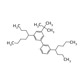 CCCCC(CCC)c1cc[c]c(-c2[c]c(C(C)(C)C)cc(C(CCC)CCCC)c2)c1